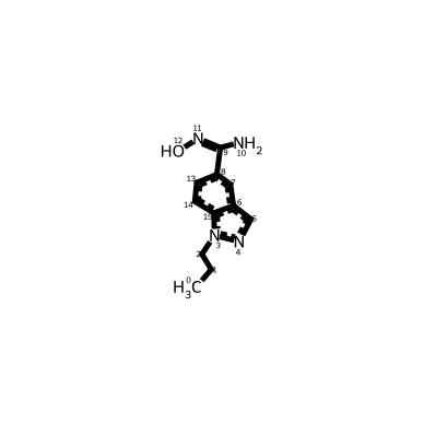 CCCn1ncc2cc(/C(N)=N\O)ccc21